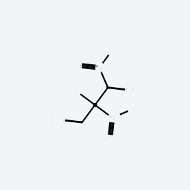 O=[N+]([O-])C(O)C(Br)(CO)[N+](=O)[O-]